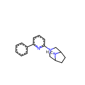 CN1C2CCC1CN(c1cccc(-c3ccccc3)n1)C2